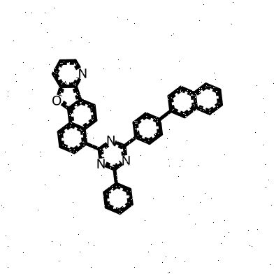 c1ccc(-c2nc(-c3ccc(-c4ccc5ccccc5c4)cc3)nc(-c3cccc4c3ccc3c5ncccc5oc43)n2)cc1